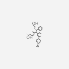 C=C(/C=C\C[C@@H](C)O)C(C(=C/C)/C=C(\C)C1CCN(C2CC2)CC1)[C@H](CCCO)c1ccccc1